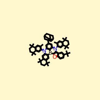 Cc1cc2c(cc1N1c3cc4c(cc3B3c5oc6ccc(C(C)(C)C)cc6c5N(c5cc6c(cc5C)C(C)(C)CCC6(C)C)c5cc(C67CC8CC(CC(C8)C6)C7)cc1c53)C(C)(C)CCC4(C)C)C(C)(C)CCC2(C)C